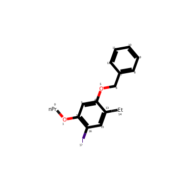 CCCOc1cc(OCc2ccccc2)c(CC)cc1I